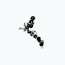 COc1ncc(-c2ccnc(N3CCc4c(sc5c4CCCC5)C3=O)c2C(C)(C)O)cc1Nc1ccc(N2CCN(C3CCN(c4ccc5c(c4)CN([C@H]4CCC(=O)NC4=O)C5=O)CC3)C[C@@H]2C)cn1